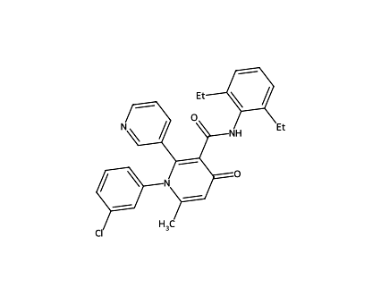 CCc1cccc(CC)c1NC(=O)c1c(-c2cccnc2)n(-c2cccc(Cl)c2)c(C)cc1=O